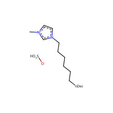 CCCCCCCCCCCCCCCCn1cc[n+](C)c1.O=S(=O)([O-])O